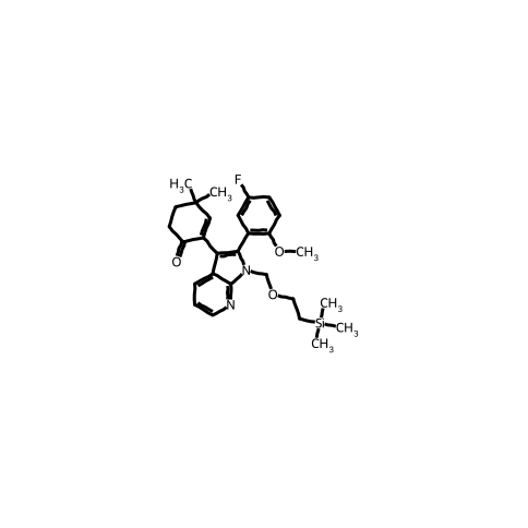 COc1ccc(F)cc1-c1c(C2=CC(C)(C)CCC2=O)c2cccnc2n1COCC[Si](C)(C)C